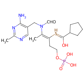 C/C(=C(CCOP(=O)(O)O)/[SH]=C(\O)C1CCCC1)N(C=O)Cc1cnc(C)nc1N